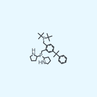 CC(C)(c1ccccc1)c1ccc(CP(C(C)(C)C)C(C)(C)C)c(CP(C2CCCN2)C2CCCN2)c1